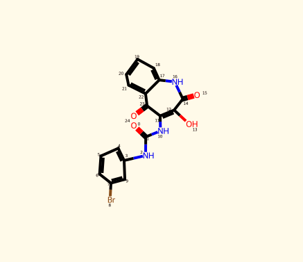 O=C(Nc1cccc(Br)c1)Nc1c(O)c(=O)[nH]c2ccccc2c1=O